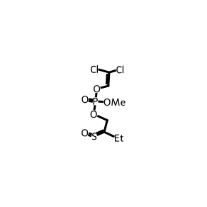 CCC(COP(=O)(OC)OC=C(Cl)Cl)=S=O